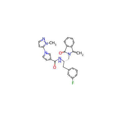 C=C1c2ccccc2C(=O)N1C[C@H](Cc1cccc(F)c1)NC(=O)c1ccn(-c2ccnn2C)c1